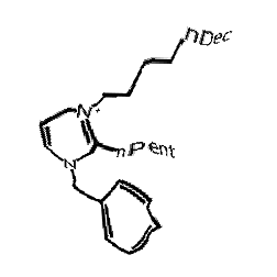 CCCCCCCCCCCCCC[n+]1ccn(Cc2ccccc2)c1CCCCC